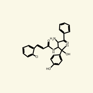 CCC(O)(c1ccc(O)cc1)C(NC(=O)C=Cc1ccccc1Cl)C(N)C(=O)c1ccccc1